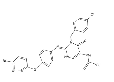 CCC(=O)Nc1c[nH]/c(=N\c2ccc(Oc3ccc(C#N)nn3)cc2)n(Cc2ccc(Cl)cc2)c1=O